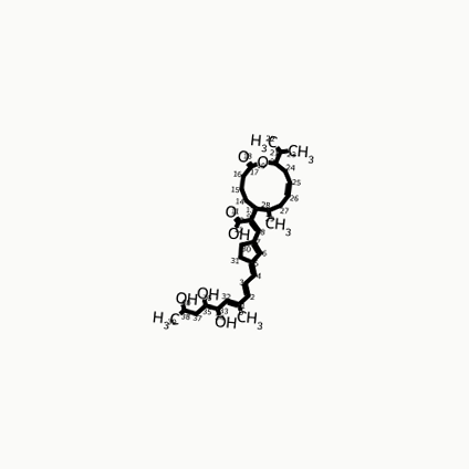 CC(C=CC=C1C=C(C=C(C(=O)O)C2CCCC(=O)OC(C(C)C)CC=CCC2C)CC1)=CC(O)C(O)CC(C)O